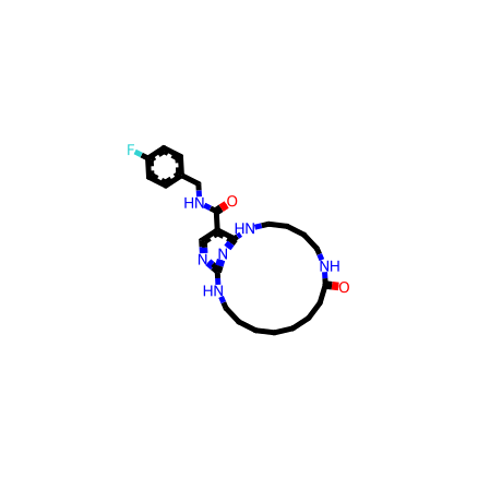 O=C1CCCCCCCNc2ncc(C(=O)NCc3ccc(F)cc3)c(n2)NCCCCN1